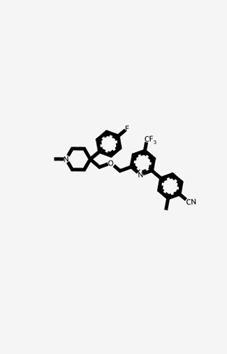 Cc1cc(-c2cc(C(F)(F)F)cc(COCC3(c4ccc(F)cc4)CCN(C)CC3)n2)ccc1C#N